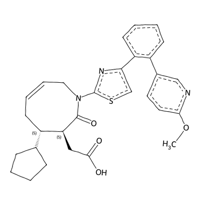 COc1ccc(-c2ccccc2-c2csc(N3CC=CC[C@@H](C4CCCC4)[C@H](CC(=O)O)C3=O)n2)cn1